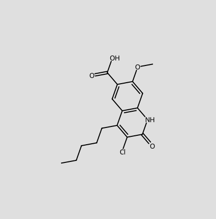 CCCCCc1c(Cl)c(=O)[nH]c2cc(OC)c(C(=O)O)cc12